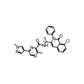 Cc1ncc(-c2cnn(C)c2)nc1C(=O)N[C@@H](C)c1cc2cccc(Cl)c2c(=O)n1-c1ccccc1